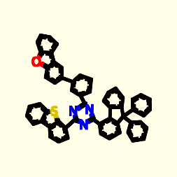 c1ccc(C2(c3ccccc3)c3ccccc3-c3c(-c4nc(-c5cccc(-c6ccc7oc8ccccc8c7c6)c5)nc(-c5cccc6c5sc5ccccc56)n4)cccc32)cc1